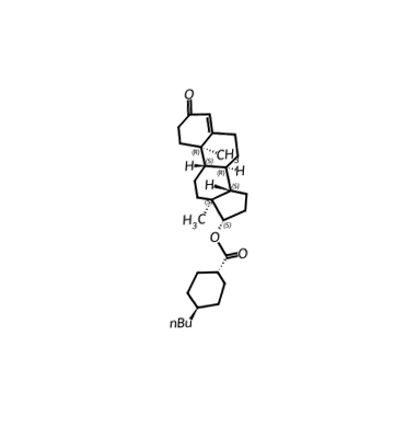 CCCC[C@H]1CC[C@H](C(=O)O[C@H]2CC[C@H]3[C@@H]4CCC5=CC(=O)CC[C@]5(C)[C@H]4CC[C@]23C)CC1